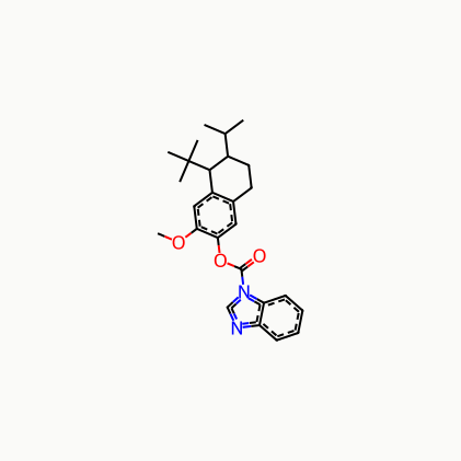 COc1cc2c(cc1OC(=O)n1cnc3ccccc31)CCC(C(C)C)C2C(C)(C)C